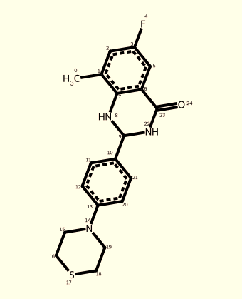 Cc1cc(F)cc2c1NC(c1ccc(N3CCSCC3)cc1)NC2=O